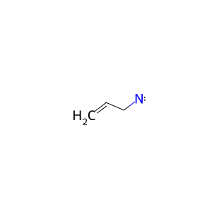 C=CC[N]